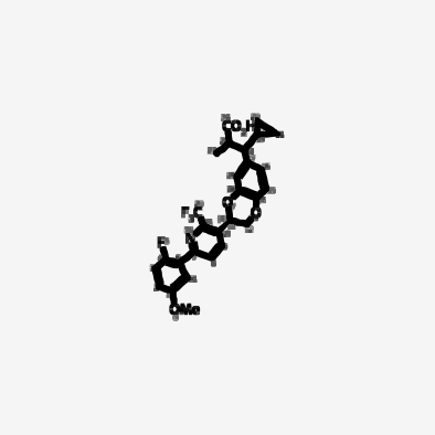 COc1ccc(F)c(-c2ccc([C@@H]3COc4ccc(C(C5CC5)C(C)C(=O)O)cc4O3)c(C(F)(F)F)n2)c1